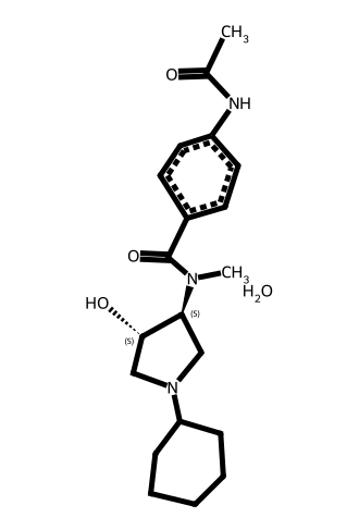 CC(=O)Nc1ccc(C(=O)N(C)[C@H]2CN(C3CCCCC3)C[C@@H]2O)cc1.O